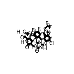 CN(C)C(=O)c1ccc(Cn2c(=O)nc(Nc3cc4cn(CC(F)F)nc4cc3Cl)n(Cc3cc(F)c(F)c(F)c3)c2=O)c(=O)[nH]1